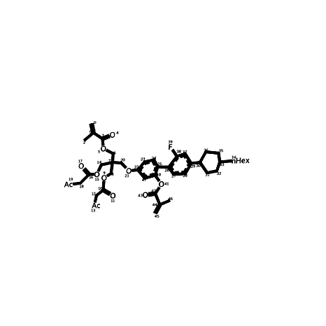 C=C(C)C(=O)OCC(COC(=O)CC(C)=O)(COC(=O)CC(C)=O)COc1ccc(-c2ccc(C3CCC(CCCCCC)CC3)cc2F)c(OC(=O)C(=C)C)c1